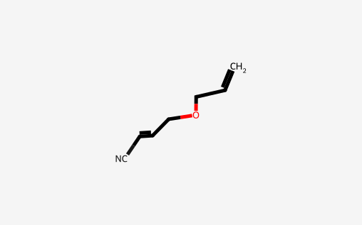 C=CCOCC=CC#N